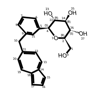 OC[C@H]1O[C@@H](c2cccc(Cc3ccc4cccc-4cc3)c2)[C@H](O)[C@@H](O)[C@@H]1O